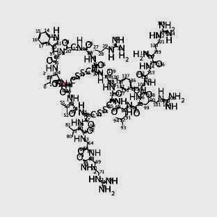 CC[C@H](C)[C@@H]1NC(=O)[C@H](Cc2c[nH]c3ccccc23)NC(=O)CNC(=O)[C@H](CCCNC(=N)N)NC(=O)[C@@H]2CSSC[C@H](NC1=O)C(=O)N[C@@H](C(C)C)C(=O)N[C@H](C(=O)N[C@H](C(=O)NCC(=O)N[C@@H](CCCNC(=N)N)C(N)=O)C(C)C)CSSC[C@H](NC(=O)[C@H](CC(C)C)NC(=O)[C@H](CCCNC(=N)N)NC(=O)CNC(=O)CNC(=O)[C@@H](N)CCCNC(=N)N)C(=O)N[C@@H](Cc1ccc(O)cc1)C(=O)N2